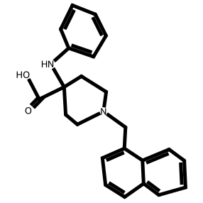 O=C(O)C1(Nc2ccccc2)CCN(Cc2cccc3ccccc23)CC1